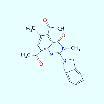 CC(=O)c1cc(C)c(C(C)=O)c2c(=O)n(C)c(N3Cc4ccccc4C3)nc12